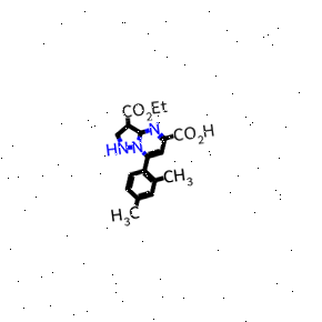 CCOC(=O)C1CNN2C(c3ccc(C)cc3C)=CC(C(=O)O)=NC12